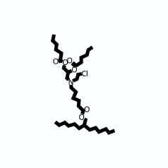 CCCCCCC(CCCCCC)COC(=O)CCCCCN(CCCl)CC(COC(=O)CCCCC)OC(=O)CCCCC